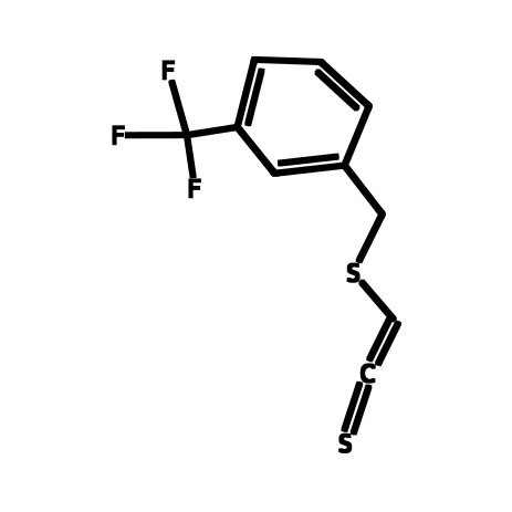 FC(F)(F)c1cccc(CSC=C=S)c1